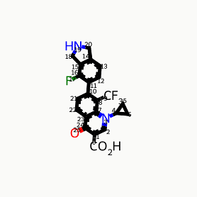 O=C(O)c1cn(C2CC2)c2c(C(F)(F)F)c(-c3ccc4c(c3F)CNC4)ccc2c1=O